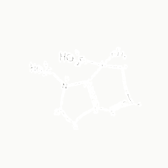 CC1(C(=O)O)CC=CC2=C1N(C(=O)O)CC2